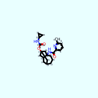 Cc1cccc(C(=O)NC23CCCC4CC2CC(OC(=O)NC2CC2)(C4)C3)n1